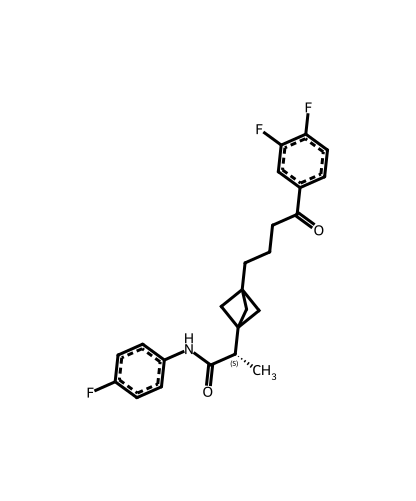 C[C@H](C(=O)Nc1ccc(F)cc1)C12CC(CCCC(=O)c3ccc(F)c(F)c3)(C1)C2